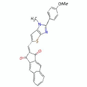 COc1ccc(-c2nc3sc(C=C4C(=O)c5cc6ccccc6cc5C4=O)cc3n2C)cc1